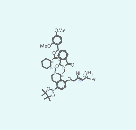 COc1ccc(COC(=O)[C@H]2CCCC[C@H]2C(=O)N2CCc3c(B4OC(C)(C)C(C)(C)O4)ccc(OC/C(N)=C/N(N)C(C)C)c3[C@H]2CN2Cc3ccccc3C2=O)c(OC)c1